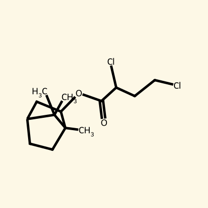 CC1(C)C2CCC1(C)C(OC(=O)C(Cl)CCCl)C2